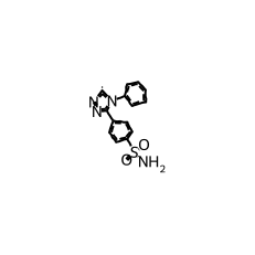 NS(=O)(=O)c1ccc(-c2nn[c]n2-c2ccccc2)cc1